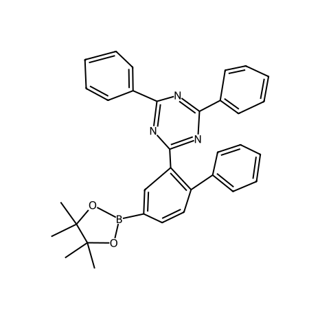 CC1(C)OB(c2ccc(-c3ccccc3)c(-c3nc(-c4ccccc4)nc(-c4ccccc4)n3)c2)OC1(C)C